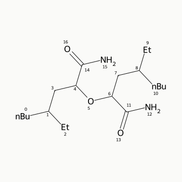 CCCCC(CC)CC(OC(CC(CC)CCCC)C(N)=O)C(N)=O